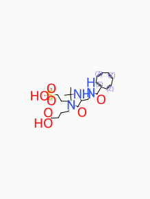 CC(C)(C)NC(CNC(=O)C1=C/C=C\C=C/C=C\1)C(=O)N(CCCC(=O)O)CCCS(=O)(=O)O